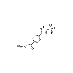 CC(C)(C)SCC(=O)c1ccc(-c2noc(C(F)(F)Cl)n2)cc1